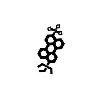 CC[Si](CC)(CC)c1ccc2c3cccc4c([Si](Cl)(Cl)Cl)ccc(c5cccc1c52)c43